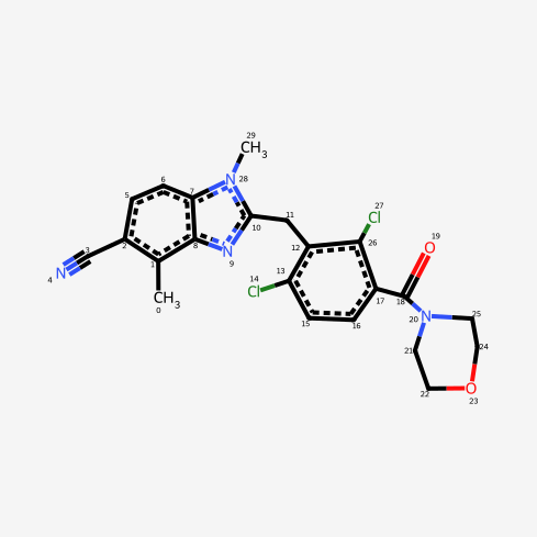 Cc1c(C#N)ccc2c1nc(Cc1c(Cl)ccc(C(=O)N3CCOCC3)c1Cl)n2C